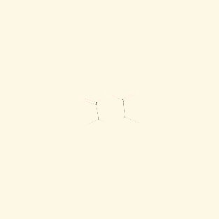 CC1SC(C)C(=O)OC1=O